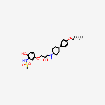 CCOC(=O)COc1ccc([C@H]2CC[C@H](NC[C@H](O)COc3ccc(O)c(NS(C)(=O)=O)c3)CC2)cc1